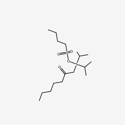 CCCCCC(=O)CS(OS(=O)(=O)CCCC)(C(C)C)C(C)C